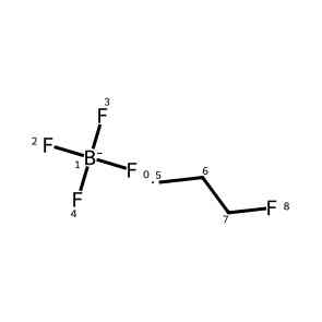 F[B-](F)(F)F.[CH2]CCF